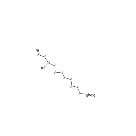 C=CCC(Br)CCCCCCCCCCCCCCC